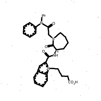 CC(C)N(C(=O)CN1CCCC[C@@H](NC(=O)c2cc3ccccc3n2CCCC(=O)O)C1=O)c1ccccc1